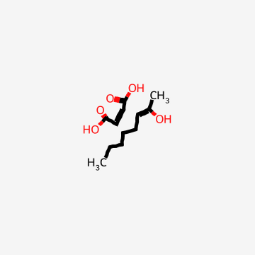 CCCCCC=C(C)O.O=C(O)/C=C\C(=O)O